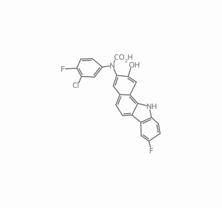 O=C(O)N(c1ccc(F)c(Cl)c1)c1cc2ccc3c4cc(F)ccc4[nH]c3c2cc1O